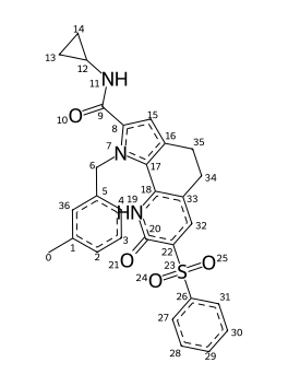 Cc1cccc(Cn2c(C(=O)NC3CC3)cc3c2-c2[nH]c(=O)c(S(=O)(=O)c4ccccc4)cc2CC3)c1